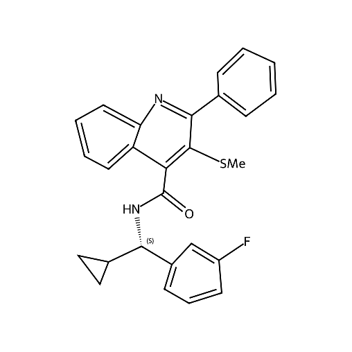 CSc1c(-c2ccccc2)nc2ccccc2c1C(=O)N[C@H](c1cccc(F)c1)C1CC1